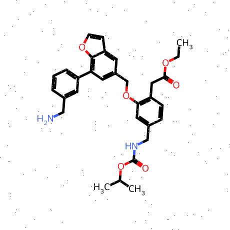 CCOC(=O)Cc1ccc(CNC(=O)OC(C)C)cc1OCc1cc(-c2cccc(CN)c2)c2occc2c1